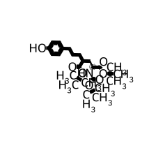 CC(C)(C)OC(=O)N[C@@H](CC(CCCc1ccc(O)cc1)C(=O)OC(C)(C)C)C(=O)OC(C)(C)C